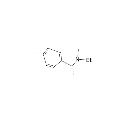 CCN(C)[C@H](C)c1ccc(C)cc1